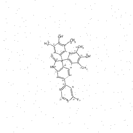 Cc1cc(C2(c3cc(C)c(O)c(C)c3)C(=O)Nc3cc(-c4cccc(F)c4)ccc32)cc(C)c1O